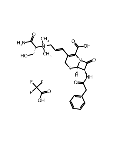 C[N+](C)(C/C=C/C1=C(C(=O)O)N2C(=O)[C@@H](NC(=O)Cc3ccccc3)[C@H]2SC1)[C@H](CO)C(N)=O.O=C(O)C(F)(F)F